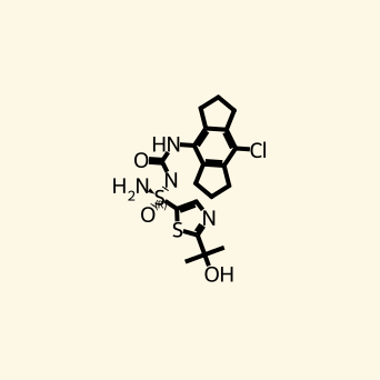 CC(C)(O)c1ncc([S@](N)(=O)=NC(=O)Nc2c3c(c(Cl)c4c2CCC4)CCC3)s1